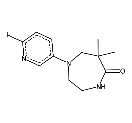 CC1(C)CN(c2ccc(I)nc2)CCNC1=O